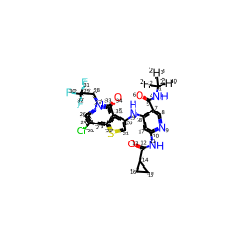 [2H]C([2H])([2H])NC(=O)c1cnc(NC(=O)C2CC2)cc1Nc1csc2c(Cl)cn(CC(F)(F)F)c(=O)c12